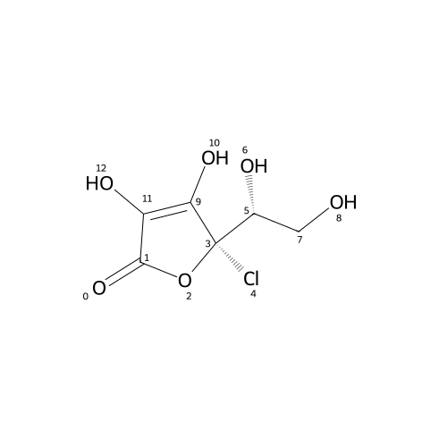 O=C1O[C@](Cl)([C@H](O)CO)C(O)=C1O